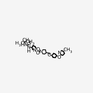 Cc1ccc(Oc2ccc(OCC3CCN(C(=O)Oc4ccc(NC(=S)NC(C)(C)C)cn4)CC3)cc2)nc1